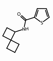 O=C(NC1CCC12CCC2)c1cccs1